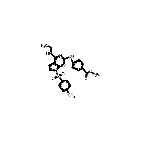 Cc1ccc(S(=O)(=O)n2ccc3c(NCC(F)(F)F)nc(Nc4ccc(C(=O)OC(C)(C)C)cc4)nc32)cc1